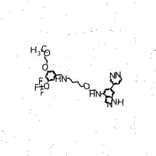 COCCOc1cc(CNCCCCOCCNc2cc(-c3ccnnc3)cc3[nH]ncc23)cc(OC(F)(F)F)c1